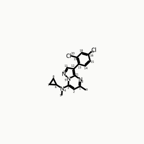 Cc1cc(N(C)C2CC2)n2ncc(-c3ccc(Cl)cc3Cl)c2n1